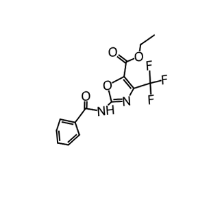 CCOC(=O)c1oc(NC(=O)c2ccccc2)nc1C(F)(F)F